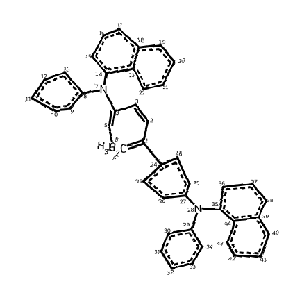 C=C(/C=C\C(=C/C)N(c1ccccc1)c1cccc2ccccc12)c1ccc(N(c2ccccc2)c2cccc3ccccc23)cc1